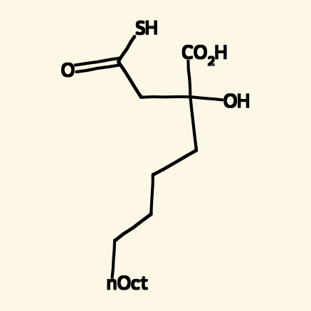 CCCCCCCCCCCCC(O)(CC(=O)S)C(=O)O